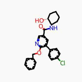 O=C(N[C@@H]1CCCC[C@H]1O)c1cnc(OCc2ccccc2)c(-c2ccc(Cl)cc2)c1